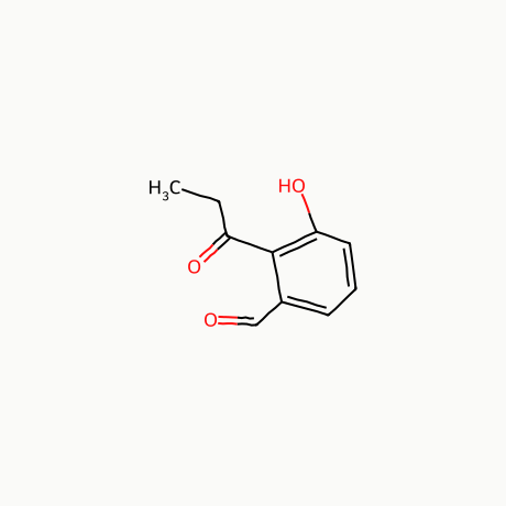 CCC(=O)c1c(O)cccc1C=O